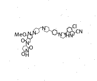 COc1nc(N2CCC(CN3CCC(c4ccc(N5CCC[C@H](c6ccc(Cl)c7c(C#N)c[nH]c67)C5)cc4)CC3)CC2)cc2c1C(=O)N(C1CCC(=O)NC1=O)C2